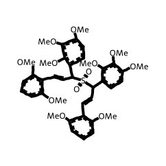 COc1cccc(OC)c1C=CC(c1ccc(OC)c(OC)c1OC)S(=O)(=O)C(C=Cc1c(OC)cccc1OC)c1ccc(OC)c(OC)c1OC